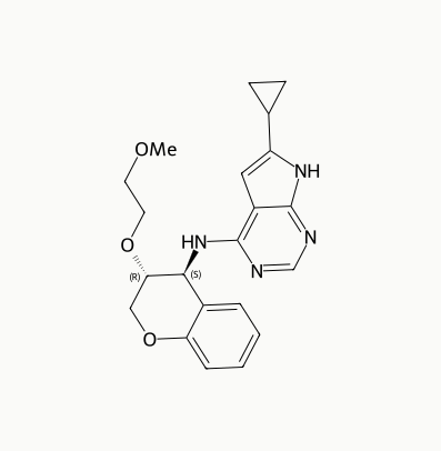 COCCO[C@H]1COc2ccccc2[C@@H]1Nc1ncnc2[nH]c(C3CC3)cc12